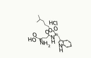 CC(C)CCCOC(=O)[C@H](Cc1c[nH]c2ccccc12)NC(=O)CC[C@@H](N)C(=O)O.Cl